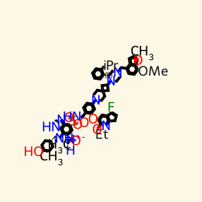 CCOc1nc2c(cc1Oc1cc(N3CCC4(CC3)CC(N3CCN(Cc5ccc(OC)c6oc(C)cc56)C[C@H]3c3ccccc3C(C)C)C4)ccc1C(=O)NS(=O)(=O)c1cc([NH+](C)[O-])c(NC[C@H]3CC[C@](C)(O)CC3)c3[nH]cnc13)C(F)=CC2